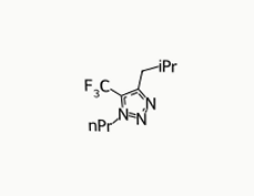 CCCn1nnc(CC(C)C)c1C(F)(F)F